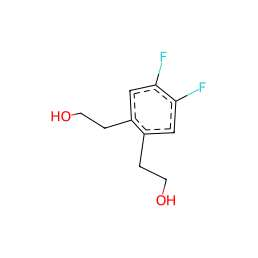 OCCc1cc(F)c(F)cc1CCO